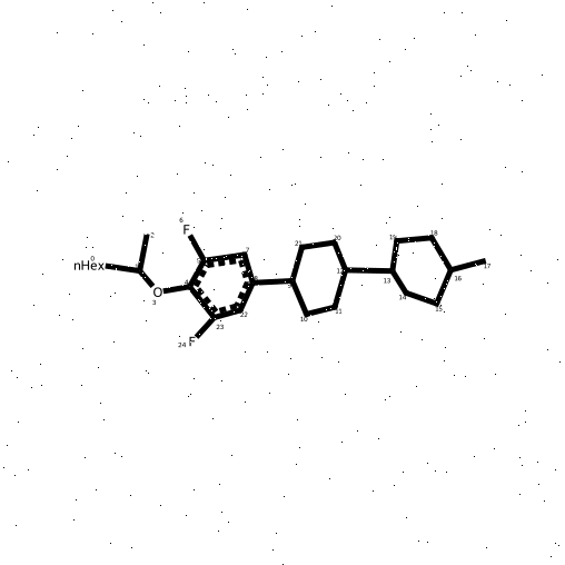 CCCCCCC(C)Oc1c(F)cc(C2CCC(C3CCC(C)CC3)CC2)cc1F